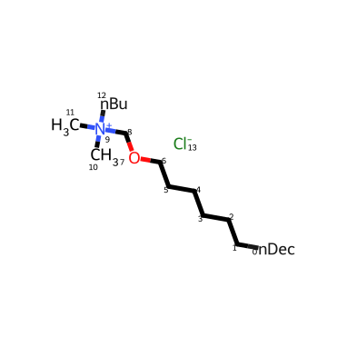 CCCCCCCCCCCCCCCCOC[N+](C)(C)CCCC.[Cl-]